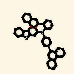 c1ccc(N(c2ccc(-c3cc4ccccc4c4ccccc34)cc2)c2ccc3c(c2)sc2ccccc23)c(-c2ccc3ccccc3c2)c1